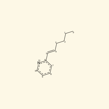 CCCCC=Cc1ccccn1